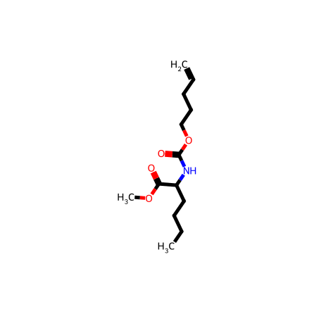 C=CCCCOC(=O)NC(CCCC)C(=O)OC